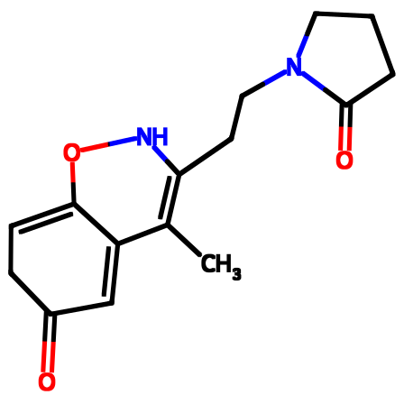 CC1=C(CCN2CCCC2=O)NOC2=CCC(=O)C=C21